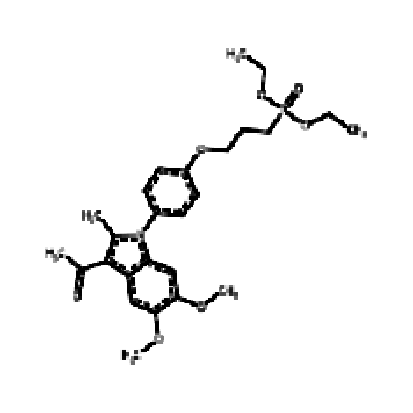 CCOP(=O)(CCCOc1ccc(-n2c(C)c(C(C)=O)c3cc(OC)c(OC)cc32)cc1)OCC